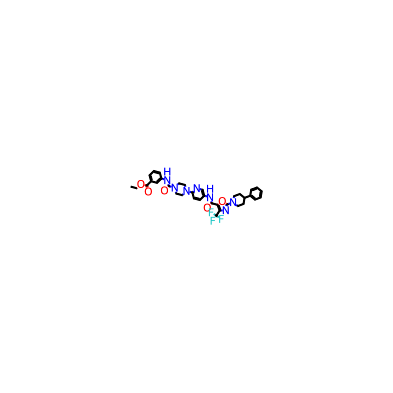 CCOC(=O)c1cccc(NC(=O)N2CCN(c3ccc(NC(=O)c4oc(N5CCC(c6ccccc6)CC5)nc4C(F)(F)F)cn3)CC2)c1